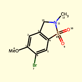 COc1cc2c(cc1Br)S(=O)(=O)N(C)C2